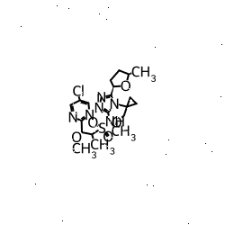 COCC1(n2c(NS(=O)(=O)C(C)C(OC)c3ncc(Cl)cn3)nnc2[C@H]2CC[C@@H](C)O2)CC1